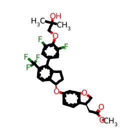 COC(=O)C[C@@H]1COc2cc(O[C@@H]3CCc4c3ccc(C(F)(F)F)c4-c3cc(F)c(OCC(C)(C)O)c(F)c3)ccc21